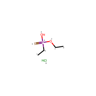 CCOP(O)(=S)CC.Cl